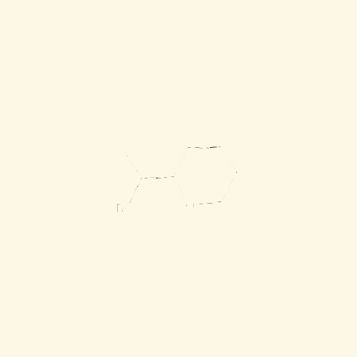 CC(Br)C1CCCCO1